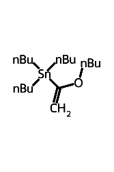 C=[C](OCCCC)[Sn]([CH2]CCC)([CH2]CCC)[CH2]CCC